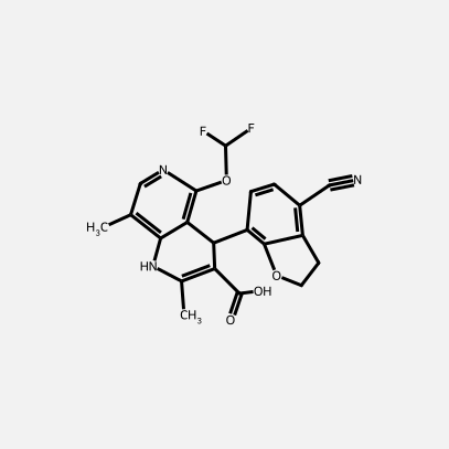 CC1=C(C(=O)O)C(c2ccc(C#N)c3c2OCC3)c2c(OC(F)F)ncc(C)c2N1